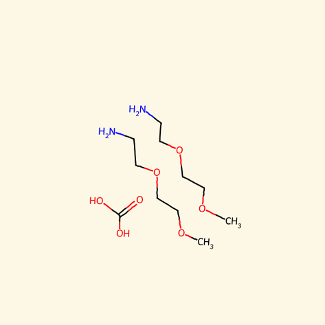 COCCOCCN.COCCOCCN.O=C(O)O